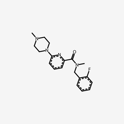 CN1CCN(c2cccc(C(=O)N(C)Cc3ccccc3F)n2)CC1